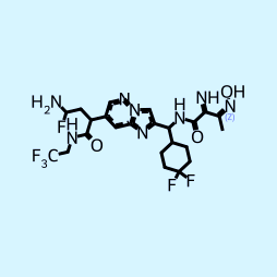 C/C(=N/O)C(=N)C(=O)NC(c1cn2ncc(C(CC(N)F)C(=O)NCC(F)(F)F)cc2n1)C1CCC(F)(F)CC1